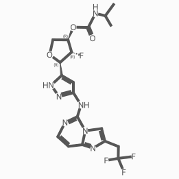 CC(C)NC(=O)O[C@@H]1CO[C@H](c2cc(Nc3nccc4nc(CC(F)(F)F)cn34)n[nH]2)[C@H]1F